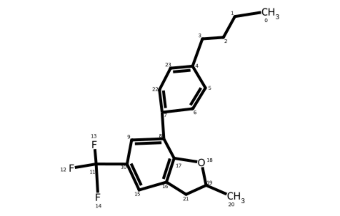 CCCCc1ccc(-c2cc(C(F)(F)F)cc3c2OC(C)C3)cc1